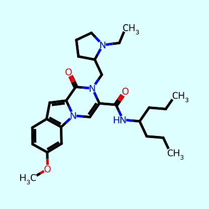 CCCC(CCC)NC(=O)c1cn2c(cc3ccc(OC)cc32)c(=O)n1CC1CCCN1CC